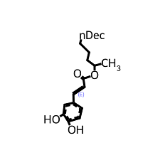 CCCCCCCCCCCCCC(C)OC(=O)/C=C/c1ccc(O)c(O)c1